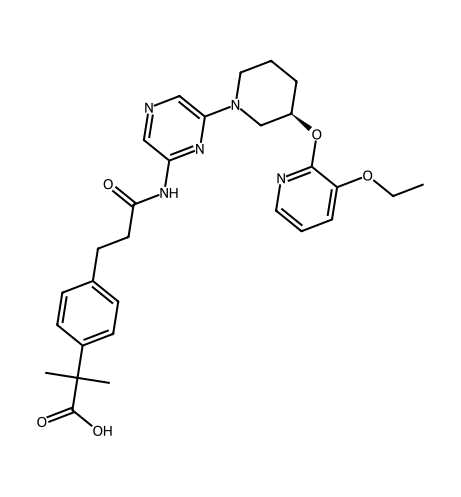 CCOc1cccnc1O[C@@H]1CCCN(c2cncc(NC(=O)CCc3ccc(C(C)(C)C(=O)O)cc3)n2)C1